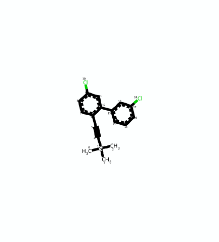 C[Si](C)(C)C#Cc1ccc(Cl)cc1-c1cccc(Cl)c1